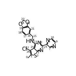 Cc1sc2nc(-c3cnccn3)nc(NCc3ccc4c(c3)OCO4)c2c1Cl